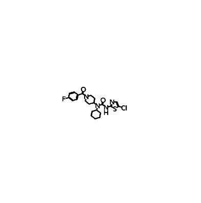 O=C(c1ccc(F)cc1)N1CCC(N(C(=O)Nc2ncc(Cl)s2)C2CCCCC2)CC1